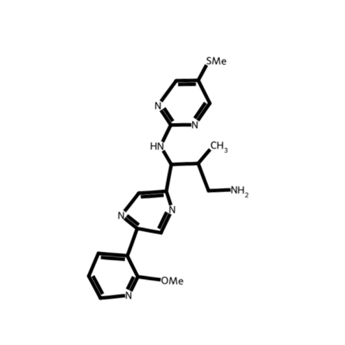 COc1ncccc1-c1cnc(C(Nc2ncc(SC)cn2)C(C)CN)cn1